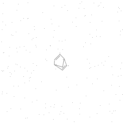 [C]1=CC2C=[C]C1C2